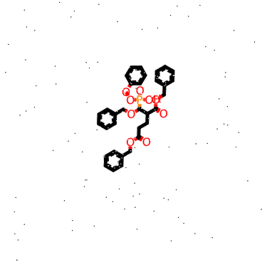 O=C(CCC(C(=O)OCc1ccccc1)C(OCc1ccccc1)P(=O)(O)OOc1ccccc1)OCc1ccccc1